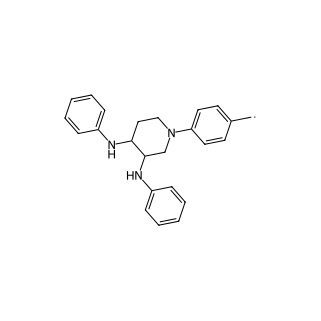 [CH2]c1ccc(N2CCC(Nc3ccccc3)C(Nc3ccccc3)C2)cc1